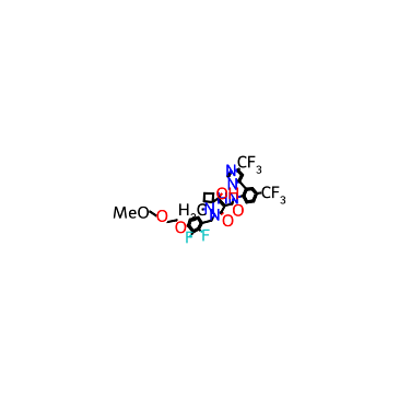 COCCOCCOc1ccc(CN2C(=O)C(C(=O)Nc3ccc(C(F)(F)F)cc3-c3cc(C(F)(F)F)ncn3)=C(O)C3(CCC3)N2C)c(F)c1F